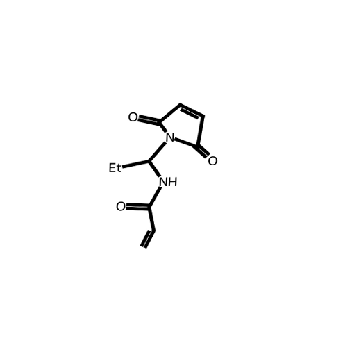 C=CC(=O)NC(CC)N1C(=O)C=CC1=O